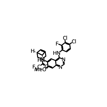 COc1cc2ncnc(Nc3ccc(Cl)c(Cl)c3F)c2cc1N[C@H]1C2=C[C@@H]1CN(C(=O)C(F)(F)F)C2